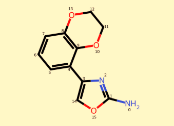 Nc1nc(-c2cccc3c2OCCO3)co1